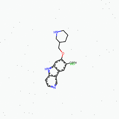 COc1cc2c(cc1OCC1CCCNC1)[nH]c1ccncc12.Cl